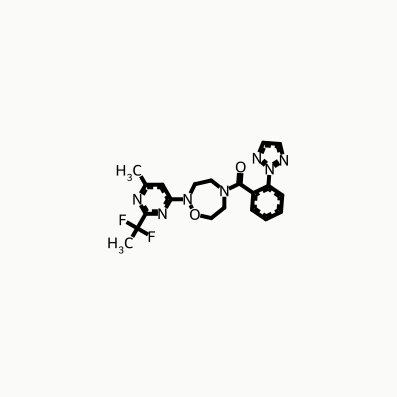 Cc1cc(N2CCN(C(=O)c3ccccc3-n3nccn3)CCO2)nc(C(C)(F)F)n1